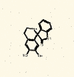 O=C1Nc2ccccc2C12NCCc1cc(O)c(O)cc12